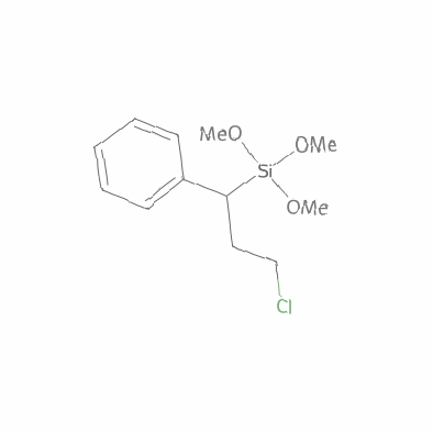 CO[Si](OC)(OC)C(CCCl)c1ccccc1